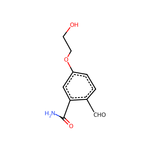 NC(=O)c1cc(OCCO)ccc1C=O